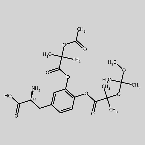 COC(C)(C)OC(C)(C)C(=O)Oc1ccc(C[C@H](N)C(=O)O)cc1OC(=O)C(C)(C)OC(C)=O